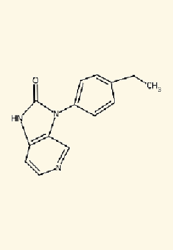 CCc1ccc(-n2c(=O)[nH]c3ccncc32)cc1